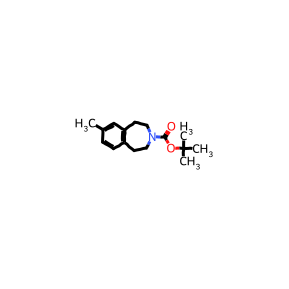 Cc1ccc2c(c1)CCN(C(=O)OC(C)(C)C)CC2